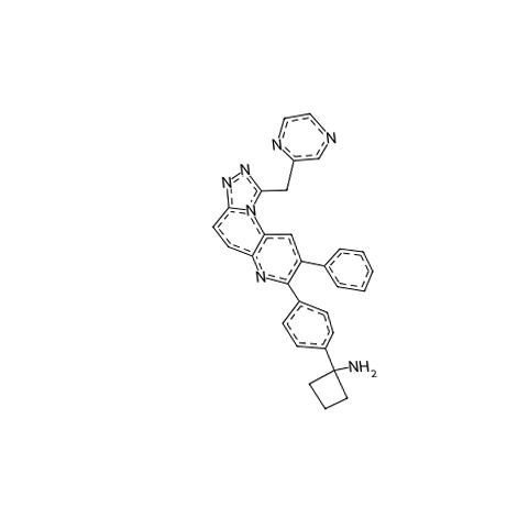 NC1(c2ccc(-c3nc4ccc5nnc(Cc6cnccn6)n5c4cc3-c3ccccc3)cc2)CCC1